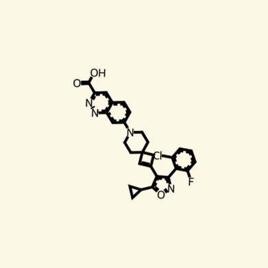 O=C(O)c1cc2ccc(N3CCC4(C=C(c5c(-c6c(F)cccc6Cl)noc5C5CC5)C4)CC3)cc2nn1